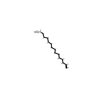 [CH2]CCCCCCCCCCCCCCCCCCCC=C